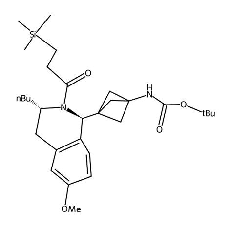 CCCC[C@H]1Cc2cc(OC)ccc2[C@H](C23CC(NC(=O)OC(C)(C)C)(C2)C3)N1C(=O)CC[Si](C)(C)C